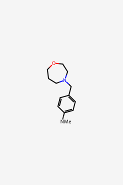 CNc1ccc(CN2CCCOCC2)cc1